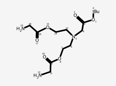 CC(C)(C)OC(=O)CN(CCOC(=O)CN)CCOC(=O)CN